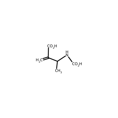 C=C(C(=O)O)C(C)NC(=O)O